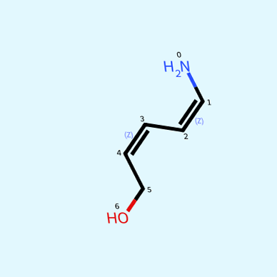 N/C=C\C=C/CO